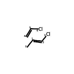 C/C=C/Cl.C=CCl